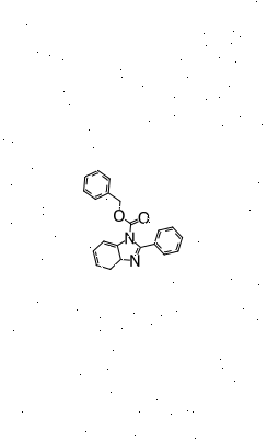 O=C(OCc1ccccc1)N1C2=CC=CCC2N=C1c1ccccc1